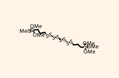 CO[Si](CCCSSSSSSSSCCC[Si](OC)(OC)OC)(OC)OC